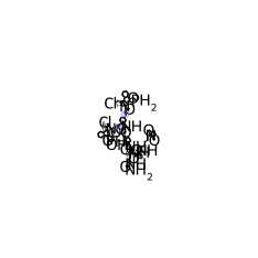 NC(=O)NCCC[C@H](NC(=O)C1(C(=O)NCCCCCN2C(=O)C=CC2=O)CCC1)C(=O)Nc1ccc(COC(=O)Nc2cc(/C=C/C(=O)N3C[C@@H](CCl)c4c3cc(OP)c3ccccc43)ccc2/C=C/C(=O)N2C[C@@H](CCl)c3c2cc(OPO)c2ccccc32)cc1